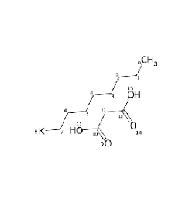 CCCCCCC[CH2][K].O=C(O)CC(=O)O